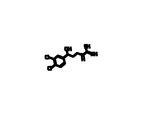 N=C(S)NCCC(O)c1ccc(Cl)c(Cl)c1